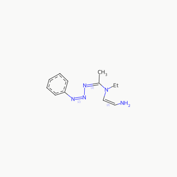 CCN(/C=C\N)/C(C)=N\N=N/c1ccccc1